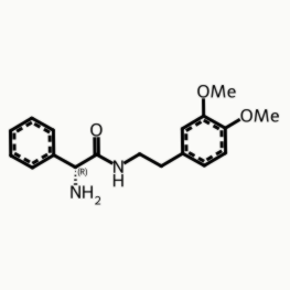 COc1ccc(CCNC(=O)[C@H](N)c2ccccc2)cc1OC